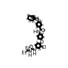 CCC(CC)NC(=O)Nc1ccc(Oc2ccc(NC(=O)c3ccc(OC4CC5CCC(C4)N5C)cc3)cc2)c(Cl)c1